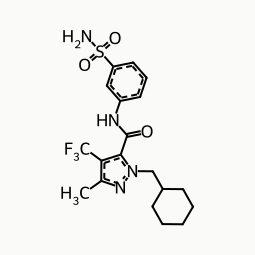 Cc1nn(CC2CCCCC2)c(C(=O)Nc2cccc(S(N)(=O)=O)c2)c1C(F)(F)F